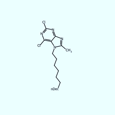 CCCCCCCCCCCCCCCCn1c(C)nc2nc(Cl)nc(Cl)c21